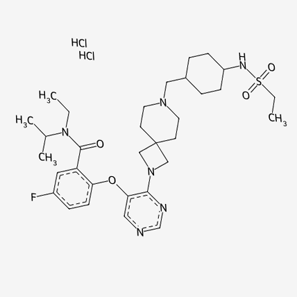 CCN(C(=O)c1cc(F)ccc1Oc1cncnc1N1CC2(CCN(CC3CCC(NS(=O)(=O)CC)CC3)CC2)C1)C(C)C.Cl.Cl